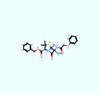 CS[C@@]1(NC(=O)COc2ccccc2)C(=O)N2[C@@H](C(=O)OCc3ccccc3)C(C)(C)S[C@@H]21